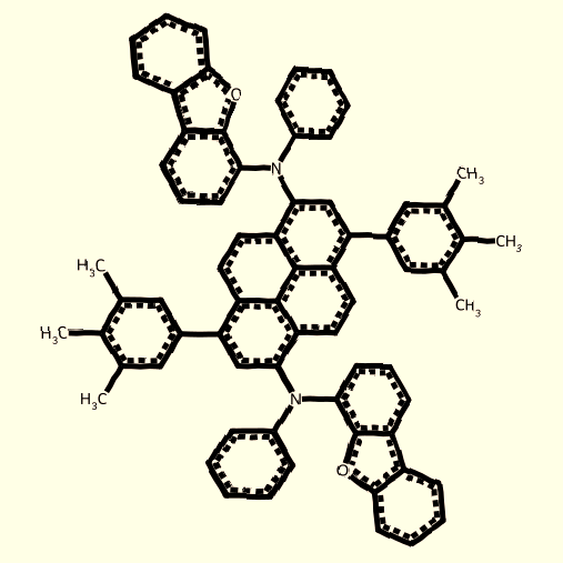 Cc1cc(-c2cc(N(c3ccccc3)c3cccc4c3oc3ccccc34)c3ccc4c(-c5cc(C)c(C)c(C)c5)cc(N(c5ccccc5)c5cccc6c5oc5ccccc56)c5ccc2c3c45)cc(C)c1C